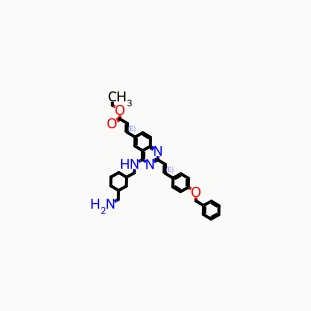 CCOC(=O)/C=C/c1ccc2nc(/C=C/c3ccc(OCc4ccccc4)cc3)nc(NCC3CCCC(CN)C3)c2c1